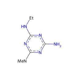 CCNc1nc(N)nc(NC)n1